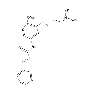 CCCN(CCC)CCCOc1cc(NC(=O)C=Cc2cccnc2)ccc1OC